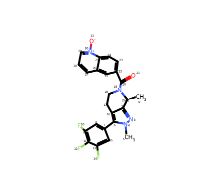 C[C@H]1c2nn(C)c(-c3cc(F)c(F)c(F)c3)c2CCN1C(=O)c1ccc2c(ccc[n+]2[O-])c1